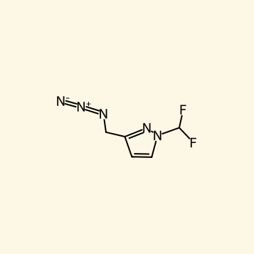 [N-]=[N+]=NCc1ccn(C(F)F)n1